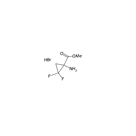 Br.COC(=O)C1(N)CC1(F)F